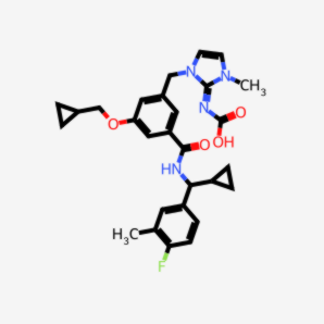 Cc1cc(C(NC(=O)c2cc(Cn3ccn(C)c3=NC(=O)O)cc(OCC3CC3)c2)C2CC2)ccc1F